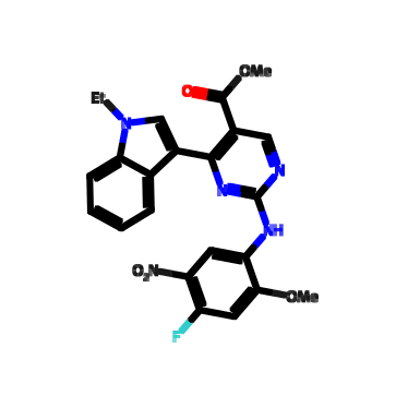 CCn1cc(-c2nc(Nc3cc([N+](=O)[O-])c(F)cc3OC)ncc2C(=O)OC)c2ccccc21